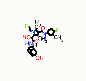 Cc1cc(NC(=O)c2c(C)c(C(O)C(=O)N[C@H]3C4CC5CC3C[C@](O)(C5)C4)n(CCF)c2C)ccc1F